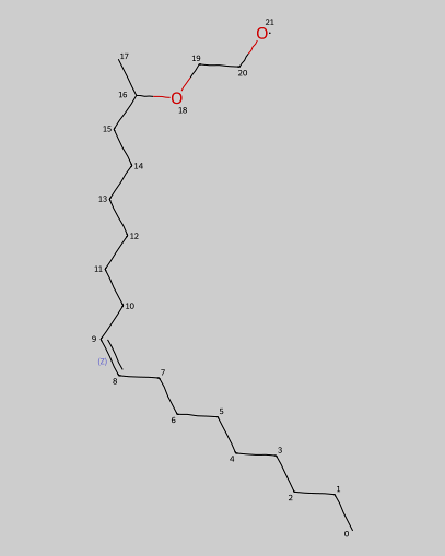 CCCCCCCC/C=C\CCCCCCC(C)OCC[O]